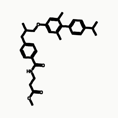 COC(=O)CCNC(=O)c1ccc(CC(C)COc2cc(C)c(-c3ccc(C(C)C)cc3)c(C)c2)cc1